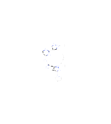 CC1CCCOc2c(cnn2C)-c2nccc(n2)Nc2cc3c(cn2)c(N2CCCC2)nn31